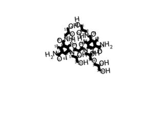 NC(=O)c1c(I)c(C(=O)NCC(O)CO)c(I)c(N(CC(O)CO)C(=O)CC(=O)N(CC(O)COCC(O)CO)c2c(I)c(C(N)=O)c(I)c(C(=O)NCC(O)CO)c2I)c1I